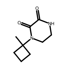 CC1(N2CCNC(=O)C2=O)CCC1